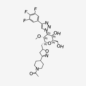 CO[C@@H]1[C@@H](n2cc(-c3cc(F)c(F)c(F)c3)nn2)[C@@H](O)[C@@H](CO)O[C@@H]1CC1CC(C2CCN(C(C)=O)CC2)=NO1